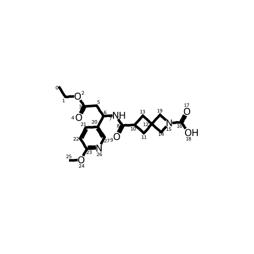 CCOC(=O)CC(NC(=O)C1CC2(C1)CN(C(=O)O)C2)c1ccc(OC)nc1